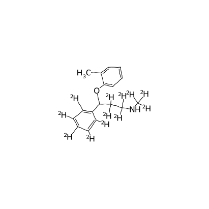 [2H]c1c([2H])c([2H])c(C(Oc2ccccc2C)C([2H])([2H])C([2H])([2H])NC([2H])([2H])[2H])c([2H])c1[2H]